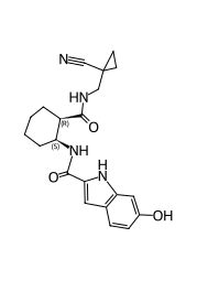 N#CC1(CNC(=O)[C@@H]2CCCC[C@@H]2NC(=O)c2cc3ccc(O)cc3[nH]2)CC1